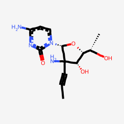 CC#CC1(N)[C@@H](O)[C@@H]([C@H](C)O)O[C@H]1n1ccc(N)nc1=O